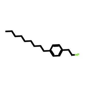 CCCCCCCCCc1ccc(C[CH]F)cc1